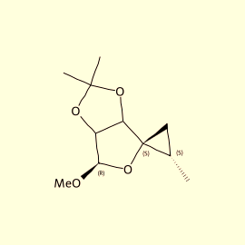 CO[C@@H]1O[C@]2(C[C@@H]2C)C2OC(C)(C)OC21